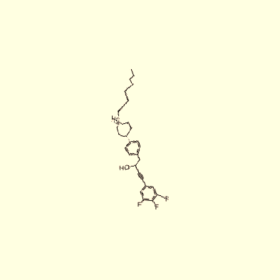 CCCCCCC[Si@H]1CC[C@H](c2ccc(CC(O)C#Cc3cc(F)c(F)c(F)c3)cc2)CC1